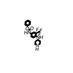 O=C(Nc1ccc(NC2CCNCC2)c(C(F)(F)F)c1)Oc1ccccc1